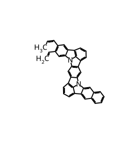 C=Cc1cc2c(cc1/C=C\C)c1cccc3c4cc5c(cc4n2c13)c1cccc2c3cc4ccccc4cc3n5c21